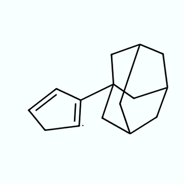 [C]1=C(C23CC4CC(CC(C4)C2)C3)C=CC1